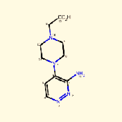 Nc1nnccc1N1CCN(CC(=O)O)CC1